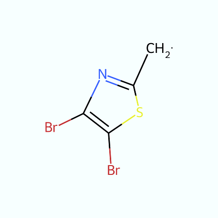 [CH2]c1nc(Br)c(Br)s1